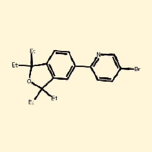 CCC1(CC)OC(CC)(CC)c2cc(-c3ccc(Br)cn3)ccc21